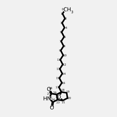 CCCCCCCCCCCCCCCCCCC12CCC(O1)C1C(=O)NC(=O)C12